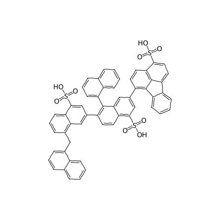 O=S(=O)(O)c1cc(-c2ccc3c(S(=O)(=O)O)cc(-c4ccc5c(S(=O)(=O)O)ccc6c5c4-c4ccccc4-6)cc3c2-c2cccc3ccccc23)cc2c(Cc3cccc4ccccc34)cccc12